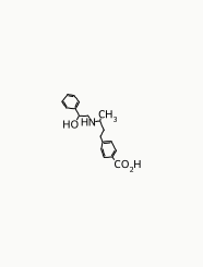 CC(CCc1ccc(C(=O)O)cc1)NCC(O)c1ccccc1